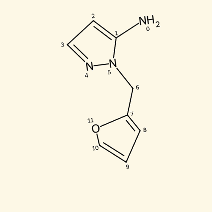 Nc1ccnn1Cc1ccco1